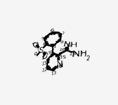 CS(=O)(=O)c1ccccc1-c1cccnc1C(=N)N